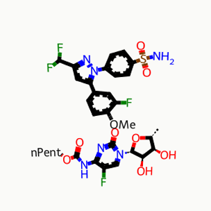 CCCCCOC(=O)Nc1nc(=O)n([C@@H]2O[C@H](C)[C@@H](O)[C@H]2O)cc1F.COc1ccc(-c2cc(C(F)F)nn2-c2ccc(S(N)(=O)=O)cc2)cc1F